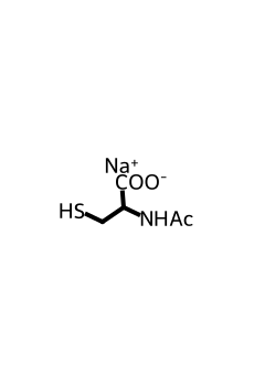 CC(=O)NC(CS)C(=O)[O-].[Na+]